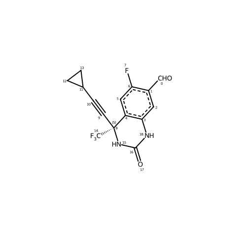 O=Cc1cc2c(cc1F)[C@@](C#CC1CC1)(C(F)(F)F)NC(=O)N2